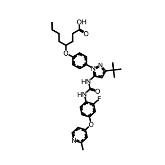 CCCCC(CCC(=O)O)Oc1ccc(-n2nc(C(C)(C)C)cc2NC(=O)Nc2ccc(Oc3ccnc(C)c3)cc2F)cc1